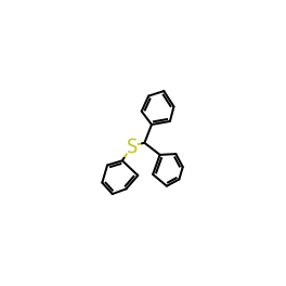 c1ccc(SC(c2ccccc2)c2ccccc2)cc1